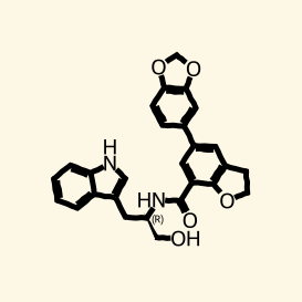 O=C(N[C@@H](CO)Cc1c[nH]c2ccccc12)c1cc(-c2ccc3c(c2)OCO3)cc2c1OCC2